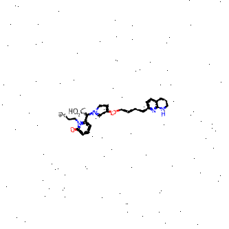 CC(C)CCn1c(C(C(=O)O)N2CCC(OCCCCc3ccc4c(n3)NCCC4)C2)cccc1=O